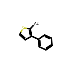 CC(=O)c1sccc1-c1ccccc1